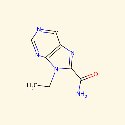 CCn1c(C(N)=O)nc2[c]ncnc21